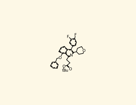 CC(C)(C)OC(=O)CCc1nc(C2CCOCC2)c(-c2ccc(F)c(F)c2)c2cccc(OCc3ccccc3)c12